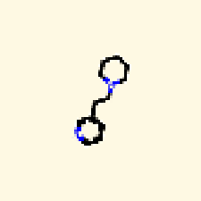 c1cncc(CCN2CCCCC2)c1